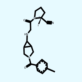 Cc1ccc(C(=O)N2CC3C(C2)C3NCC(=O)N2CCC[C@]2(I)C#N)cc1